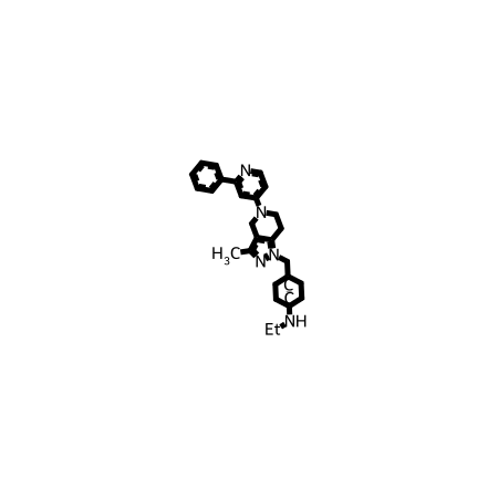 CCNC12CCC(Cn3nc(C)c4c3CCN(c3ccnc(-c5ccccc5)c3)C4)(CC1)CC2